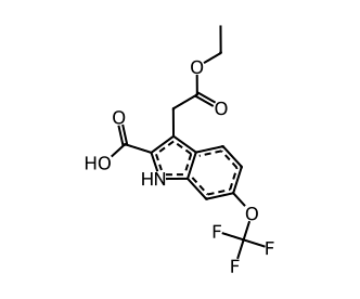 CCOC(=O)Cc1c(C(=O)O)[nH]c2cc(OC(F)(F)F)ccc12